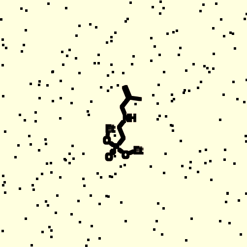 C=C(C)CNCCP(=O)(OCC)OCC